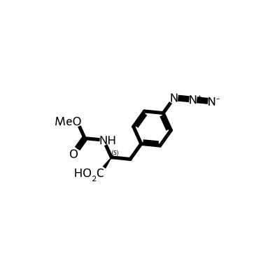 COC(=O)N[C@@H](Cc1ccc(N=[N+]=[N-])cc1)C(=O)O